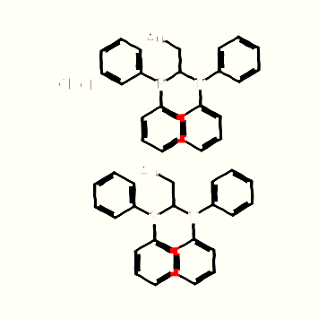 [Au+][CH2]C(P(c1ccccc1)c1ccccc1)P(c1ccccc1)c1ccccc1.[Au+][CH2]C(P(c1ccccc1)c1ccccc1)P(c1ccccc1)c1ccccc1.[Cl-].[Cl-]